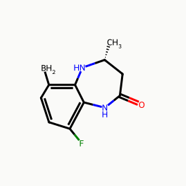 Bc1ccc(F)c2c1N[C@H](C)CC(=O)N2